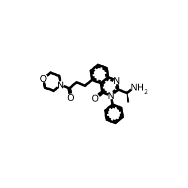 C[C@H](N)c1nc2cccc(CCC(=O)N3CCOCC3)c2c(=O)n1-c1ccccc1